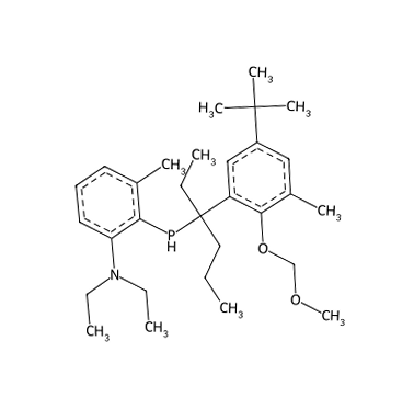 CCCC(CC)(Pc1c(C)cccc1N(CC)CC)c1cc(C(C)(C)C)cc(C)c1OCOC